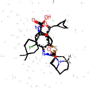 CC1(C)CCC(c2noc(C3CC3)c2COC2CC3CC[C@@H](C2)N3c2nc3c(F)cc(C(=O)O)cc3s2)CC1